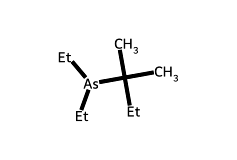 CC[As](CC)C(C)(C)CC